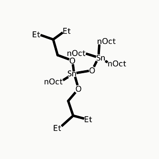 CCCCCCC[CH2][Sn]([CH2]CCCCCCC)([CH2]CCCCCCC)[O][Sn]([CH2]CCCCCCC)([O]CC(CC)CC)[O]CC(CC)CC